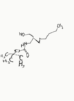 CCCCCC[C@H](CO)CNC(=O)OC(C)(C)C